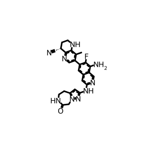 Cc1c(-c2cc3cc(Nc4cc5n(n4)CC(=O)NCC5)ncc3c(N)c2F)cnc2c1NCC[C@H]2C#N